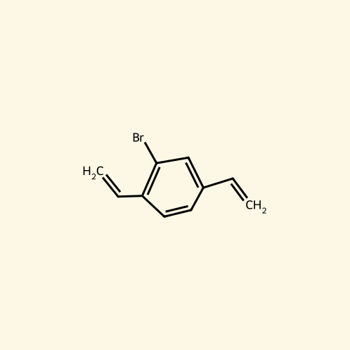 C=Cc1ccc(C=C)c(Br)c1